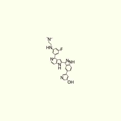 CN(C)CCNc1cc(F)cc(-c2nccc3[nH]c(-c4n[nH]c5ccc(-c6cncc(O)c6)cc45)cc23)c1